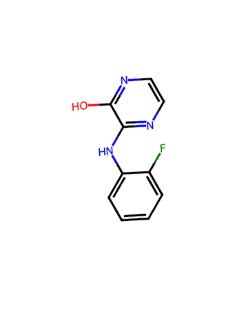 Oc1nccnc1Nc1ccccc1F